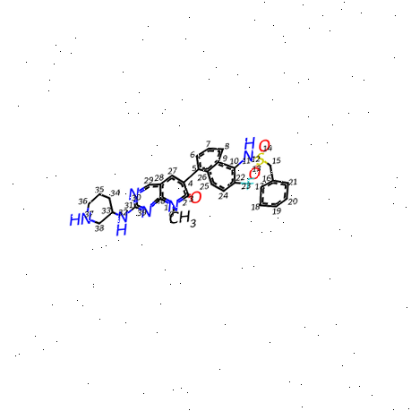 Cn1c(=O)c(-c2cccc3c(NS(=O)(=O)Cc4ccccc4)c(F)ccc23)cc2cnc(NC3CCCNC3)nc21